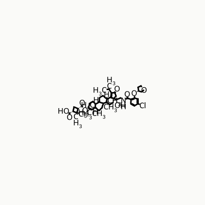 CC(C)C1=C2[C@H]3CC[C@@H]4[C@@]5(C)CC[C@H](OC(=O)[C@H]6C[C@@H](C(=O)O)C6(C)C)C(C)(C)[C@@H]5CC[C@@]4(C)[C@]3(C)CC[C@@]2([C@@H](O)CNC(=O)c2ccc(Cl)cc2O[C@@H]2CCOC2)CC1=O